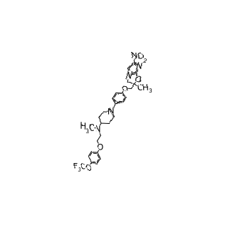 CN(CCOc1ccc(OC(F)(F)F)cc1)C1CCN(c2ccc(OCC3(C)Cn4cc([N+](=O)[O-])nc4O3)cc2)CC1